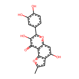 Cc1cc2c(O)cc3oc(-c4ccc(O)c(O)c4)c(O)c(=O)c3c2o1